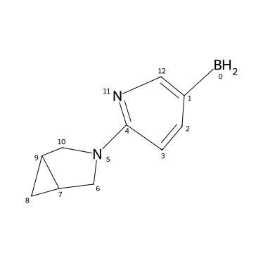 Bc1ccc(N2CC3CC3C2)nc1